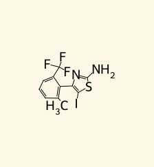 Cc1cccc(C(F)(F)F)c1-c1nc(N)sc1I